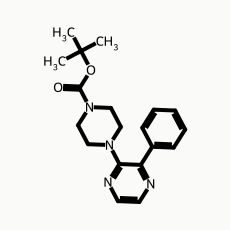 CC(C)(C)OC(=O)N1CCN(c2nccnc2-c2ccccc2)CC1